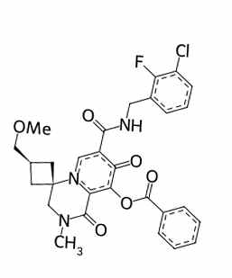 COC[C@H]1C[C@@]2(CN(C)C(=O)c3c(OC(=O)c4ccccc4)c(=O)c(C(=O)NCc4cccc(Cl)c4F)cn32)C1